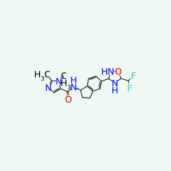 Cc1ncc(C(=O)N[C@@H]2CCc3cc(C4NOC(C(F)F)N4)ccc32)n1C